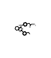 NC(=O)Cc1ccc(Nc2nc(-c3cccc(CI)c3)nc3c2CCCC3)cc1